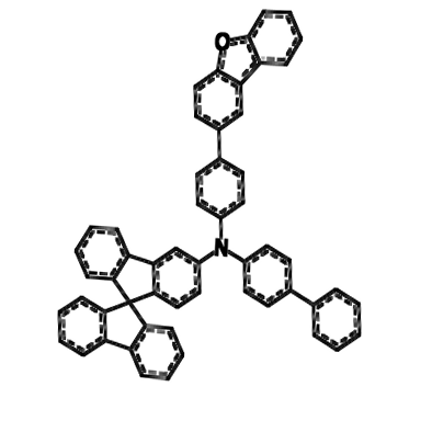 c1ccc(-c2ccc(N(c3ccc(-c4ccc5oc6ccccc6c5c4)cc3)c3ccc4c(c3)-c3ccccc3C43c4ccccc4-c4ccccc43)cc2)cc1